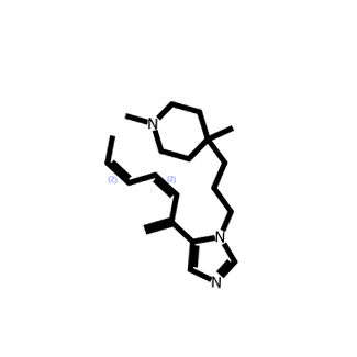 C=C(/C=C\C=C/C)c1cncn1CCCC1(C)CCN(C)CC1